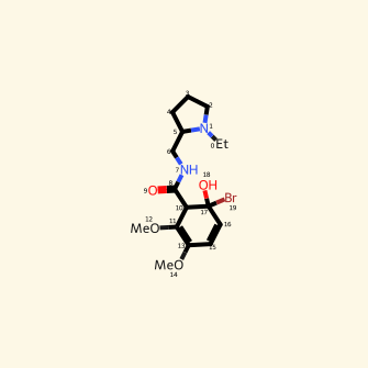 CCN1CCCC1CNC(=O)C1C(OC)=C(OC)C=CC1(O)Br